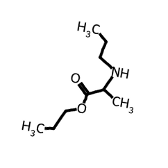 CCCNC(C)C(=O)OCCC